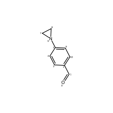 O=Cc1ccc(N2CC2)cc1